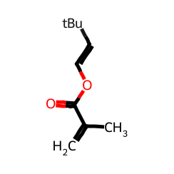 C=C(C)C(=O)OC=CC(C)(C)C